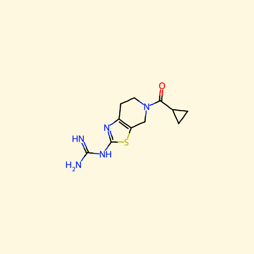 N=C(N)Nc1nc2c(s1)CN(C(=O)C1CC1)CC2